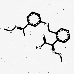 CO/N=C(\C)c1cccc(OCc2ccccc2/C(=N\OC)C(=O)O)c1